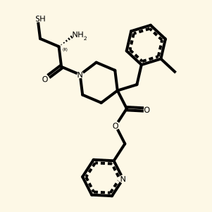 Cc1ccccc1CC1(C(=O)OCc2ccccn2)CCN(C(=O)[C@@H](N)CS)CC1